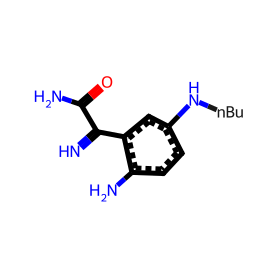 CCCCNc1ccc(N)c(C(=N)C(N)=O)c1